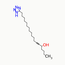 CCCCC(O)C#CCCCCCCCCCCCCc1nnn[nH]1